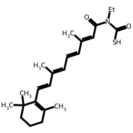 CCN(C(=O)S)C(=O)/C=C(C)/C=C/C=C(C)/C=C/C1=C(C)CCCC1(C)C